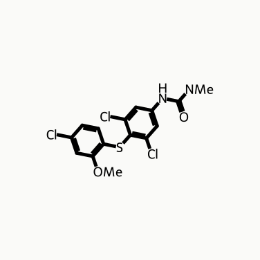 CNC(=O)Nc1cc(Cl)c(Sc2ccc(Cl)cc2OC)c(Cl)c1